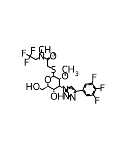 CO[C@@H]1[C@@H](n2cc(-c3cc(F)c(F)c(F)c3)nn2)[C@@H](O)[C@@H](CO)O[C@H]1SCC(=O)N(C)CC(F)(F)F